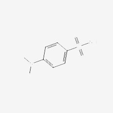 CN(C)c1ccc(S(N)(=O)=O)cc1